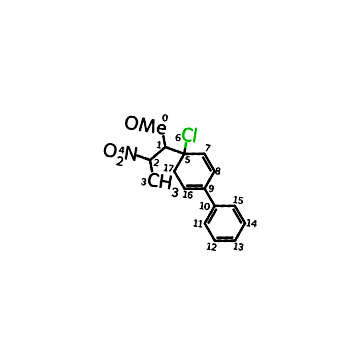 COC(C(C)[N+](=O)[O-])C1(Cl)C=CC(c2ccccc2)=CC1